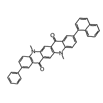 Cn1c2ccc(-c3ccccc3)cc2c(=O)c2cc3c(cc21)c(=O)c1cc(-c2cccc4ccccc24)ccc1n3C